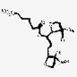 CCC1(OC)COC1CCC(OC(=O)CCCCC(=O)O)C1OCC1(CC)OC